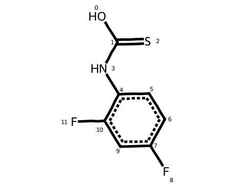 OC(=S)Nc1ccc(F)cc1F